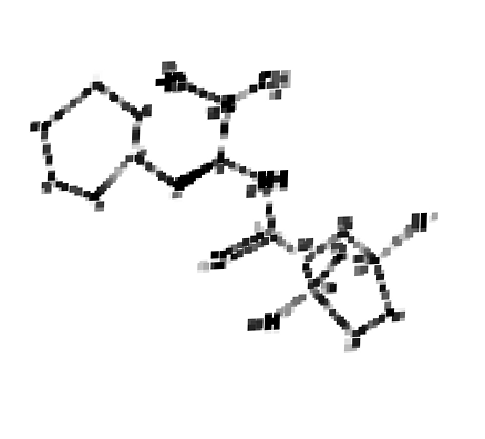 O=C(N[C@@H](CC1CCCCC1)B(O)O)[C@@H]1C[C@H]2CC[C@@H]1C2